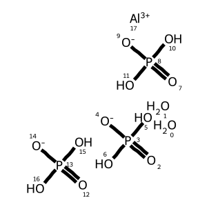 O.O.O=P([O-])(O)O.O=P([O-])(O)O.O=P([O-])(O)O.[Al+3]